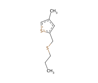 CCCSCc1cc(C)cs1